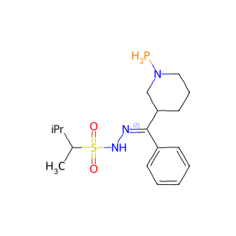 CC(C)C(C)S(=O)(=O)N/N=C(\c1ccccc1)C1CCCN(P)C1